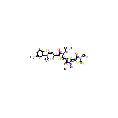 CC/C(C=C1Sc2ccc(C)cc2N1C)=c1\s/c(=c2/s/c(=C3/SC(=S)N(C)C3=O)n(CC(=O)O)c2=O)n(CC(=O)O)c1=O